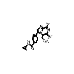 O=C(NC1CC1)c1ccc(-c2cnc3c(Br)nc(Br)c(CO)n23)cc1